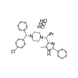 Cc1[nH]c(-c2ccccc2)nc1C(C(C)C)N1CCN(C(c2ccccc2)c2ccc(Cl)cc2)CC1.Cl.Cl.Cl